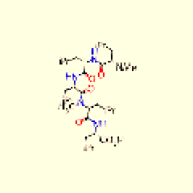 CN[C@@H](CC(C)C)C(=O)N[C@@H](CC(C)C)C(=O)N[C@H](CC(C)C)C(=O)N(C)[C@@H](CC(C)C)C(=O)N[C@@H](CC(C)C)C(=O)O